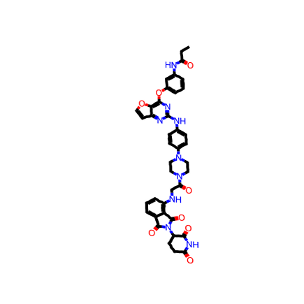 CCC(=O)Nc1cccc(Oc2nc(Nc3ccc(N4CCN(C(=O)CNc5cccc6c5C(=O)N(C5CCC(=O)NC5=O)C6=O)CC4)cc3)nc3ccoc23)c1